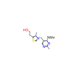 CNc1nc(C)ncc1C[n+]1csc(CCO)c1C